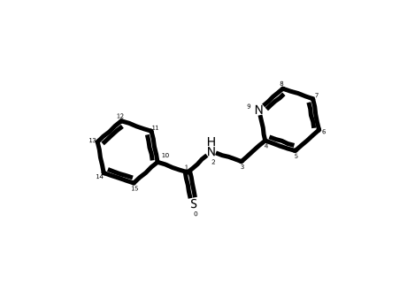 S=C(NCc1ccccn1)c1ccccc1